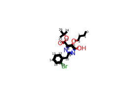 CCCCOc1c(O)nc(Cc2ccccc2Br)nc1C(=O)OC(C)(C)C